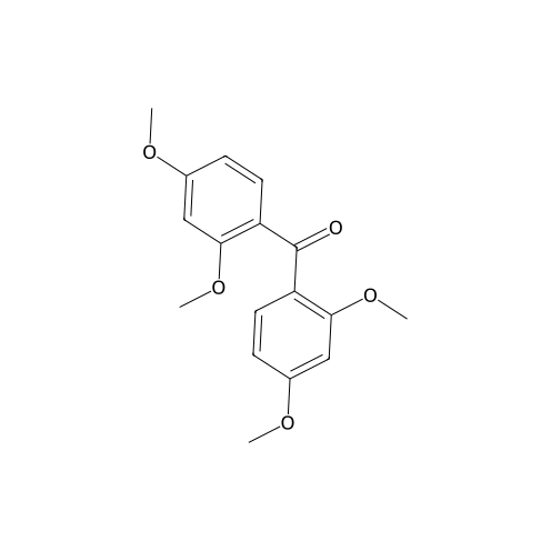 COc1ccc(C(=O)c2ccc(OC)cc2OC)c(OC)c1